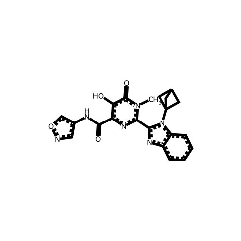 Cn1c(-c2nc3ccccc3n2C23CC(C2)C3)nc(C(=O)Nc2cnoc2)c(O)c1=O